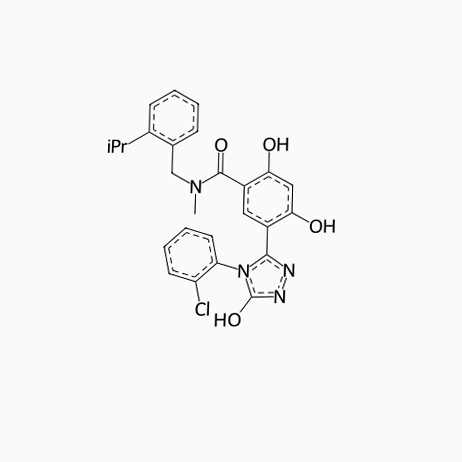 CC(C)c1ccccc1CN(C)C(=O)c1cc(-c2nnc(O)n2-c2ccccc2Cl)c(O)cc1O